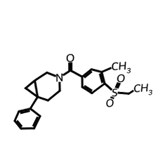 CCS(=O)(=O)c1ccc(C(=O)N2CCC3(c4ccccc4)CC3C2)cc1C